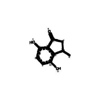 CC1CC(=O)c2c(O)ccc(O)c21